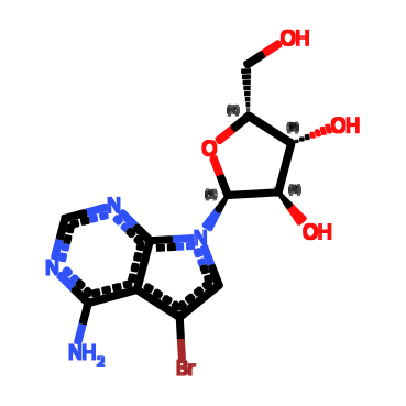 Nc1ncnc2c1c(Br)cn2[C@H]1O[C@H](CO)[C@H](O)[C@H]1O